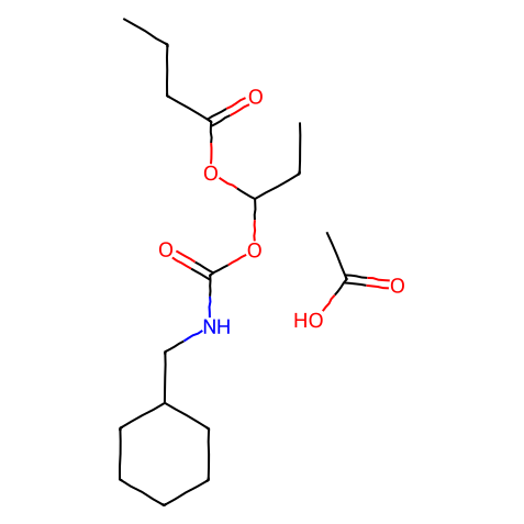 CC(=O)O.CCCC(=O)OC(CC)OC(=O)NCC1CCCCC1